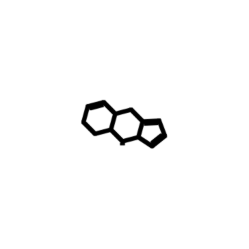 [C]1C2C=CC=C2CC2C=CCCC12